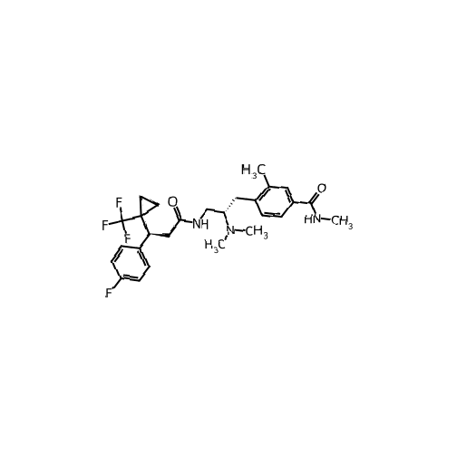 CNC(=O)c1ccc(C[C@@H](CNC(=O)C[C@@H](c2ccc(F)cc2)C2(C(F)(F)F)CC2)N(C)C)c(C)c1